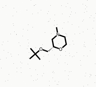 CN1CCO[C@H](COC(C)(C)C)C1